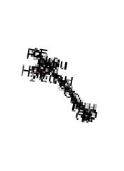 CC(C)(C)C(c1nc(-c2cc(F)ccc2F)cn1Cc1ccccc1)N(CCC(N)C(=O)O)C(=O)CSCCOCCOCCOCCOCCC(=O)NCCN1C(=O)C=CC1=O